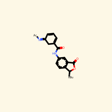 CCCCC1OC(=O)c2cc(NC(=O)C3=CC=CC(=NC(C)=O)C3)ccc21